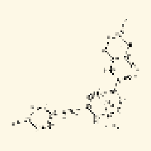 C=C(/C=C\C(C)(C)NC(=O)C#Cc1ccc(F)cn1)C(=O)NC1CCC(=O)NC1=O